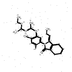 CCC=C1C2=C(CCCC2)C(=O)N1c1cc(OC(C)OC(C)OCC)c(Cl)cc1F